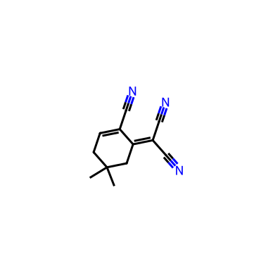 CC1(C)CC=C(C#N)C(=C(C#N)C#N)C1